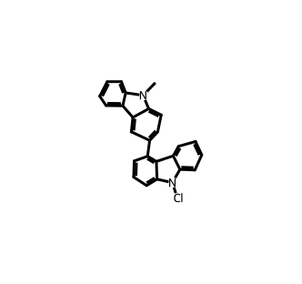 Cn1c2ccccc2c2cc(-c3cccc4c3c3ccccc3n4Cl)ccc21